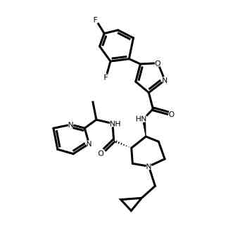 CC(NC(=O)[C@H]1CN(CC2CC2)CC[C@@H]1NC(=O)c1cc(-c2ccc(F)cc2F)on1)c1ncccn1